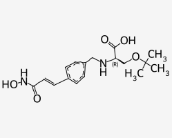 CC(C)(C)OC[C@@H](NCc1ccc(C=CC(=O)NO)cc1)C(=O)O